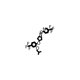 CC(C)COc1cc(C(F)(F)F)ccc1OC1CC2C(C1)N2Oc1ccc(C(F)(F)F)cn1